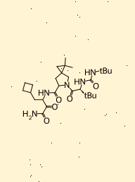 CC(C)(C)NC(=O)N[C@H](C(=O)N1CC2(CC1C(=O)NC(CC1CCC1)C(=O)C(N)=O)CC2(C)C)C(C)(C)C